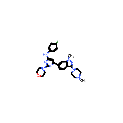 CN1CCN(c2nn(C)c3cc(-c4cc(Nc5ccc(Cl)cc5)nc(N5CCOCC5)n4)ccc23)CC1